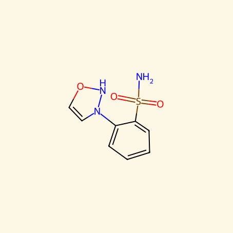 NS(=O)(=O)c1ccccc1N1C=CON1